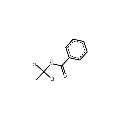 [CH2]C(Cl)(Cl)NC(=O)c1ccccc1